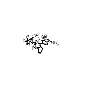 C[C@@H]1N(c2nc3c(c(-c4ccc5c(c4)S(=O)(=O)CC5N)n2)CCC3)CC1(F)F